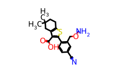 CC1(C)CCc2sc(-c3ccc(C#N)cc3CON)c(C(=O)O)c2C1